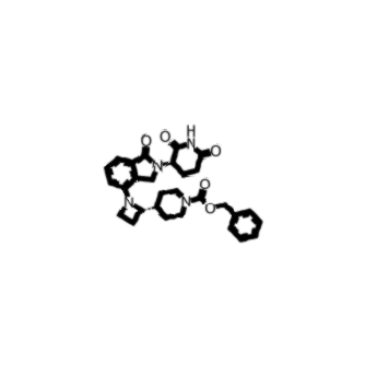 O=C1CC[C@@H](N2Cc3c(cccc3N3CC[C@H]3C3CCN(C(=O)OCc4ccccc4)CC3)C2=O)C(=O)N1